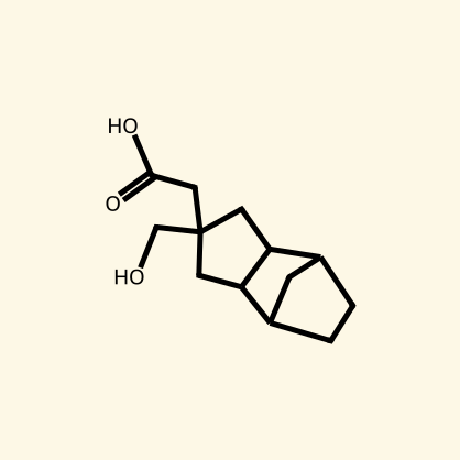 O=C(O)CC1(CO)CC2C3CCC(C3)C2C1